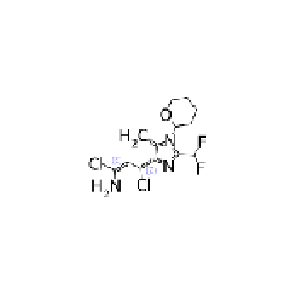 C=c1/c(=C(Cl)\C=C(/N)Cl)nc(C(F)F)n1C1CCCCO1